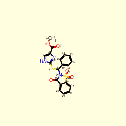 COC(=O)c1c[nH]c(SC(c2ccccc2)N2C(=O)c3ccccc3S2(=O)=O)n1